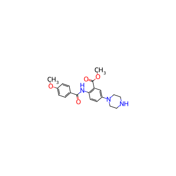 COC(=O)c1cc(N2CCNCC2)ccc1NC(=O)c1ccc(OC)cc1